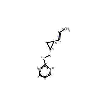 C/C=C/[C@@H]1C[C@H]1CSc1ncccn1